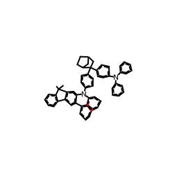 CC1(C)c2ccccc2-c2cc(-c3ccccc3)c(N(c3ccccc3)c3ccc(C4(c5ccc(N(c6ccccc6)c6ccccc6)cc5)CC5CCC4C5)cc3)cc21